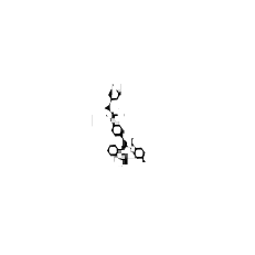 O=C(Nc1ccc(S(=O)(=O)N(Cc2ccc(F)cc2)Cc2ccccc2OC(F)(F)F)cc1)C1CC1c1ccncc1